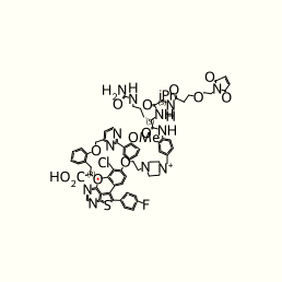 COc1ccccc1-c1nccc(COc2ccccc2C[C@@H](Oc2ncnc3sc(-c4ccc(F)cc4)c(-c4ccc(OCCN5CC[N+](C)(Cc6ccc(NC(=O)[C@H](CCCNC(N)=O)NC(=O)[C@@H](NC(=O)CCOCCN7C(=O)C=CC7=O)C(C)C)cc6)CC5)c(Cl)c4C)c23)C(=O)O)n1